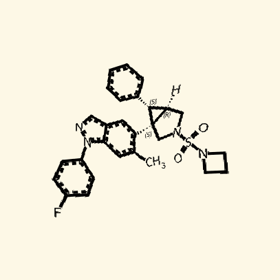 Cc1cc2c(cnn2-c2ccc(F)cc2)cc1[C@@]12CN(S(=O)(=O)N3CCC3)C[C@@H]1[C@H]2c1ccccc1